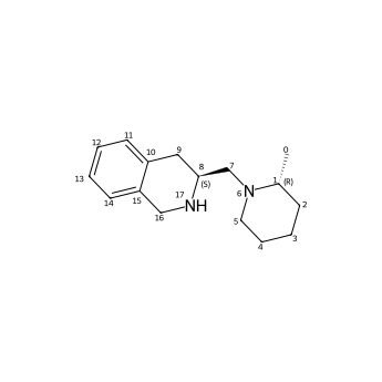 C[C@@H]1CCCCN1C[C@@H]1Cc2ccccc2CN1